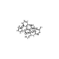 C[C@H](Cc1ncc(F)cn1)S(=O)(=O)N(C(=N)N)N(C(=O)c1ccco1)c1ccccc1C(F)(F)F